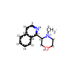 [CH2]N1CCOCC1c1nccc2ccccc12